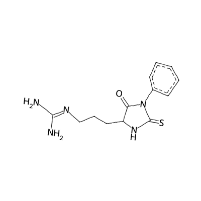 NC(N)=NCCCC1NC(=S)N(c2ccccc2)C1=O